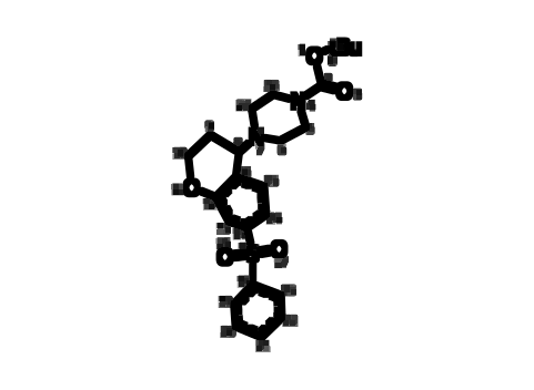 CC(C)(C)OC(=O)N1CCN(C2CCOc3cc(S(=O)(=O)c4ccccc4)ccc32)CC1